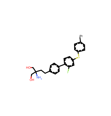 CC(C)c1ccc(Sc2ccc(-c3ccc(CCC(N)(CO)CO)cc3)c(F)c2)cc1